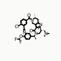 C[C@@H]1Cc2nn3c(c2CN1C(=O)c1ccc(Cl)c(C#N)c1)C(=O)N([C@@H](C)c1ccc(OC(F)F)cc1)C[C@H]3CN(C)C